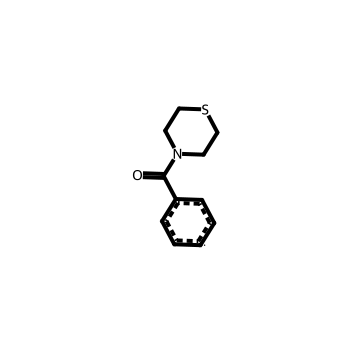 O=C(c1cc[c]cc1)N1CCSCC1